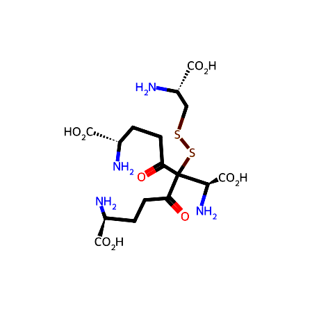 N[C@H](C(=O)O)C(SSC[C@H](N)C(=O)O)(C(=O)CC[C@H](N)C(=O)O)C(=O)CC[C@H](N)C(=O)O